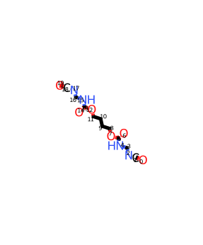 O=C=NCNC(=O)OCCCCOC(=O)NCN=C=O